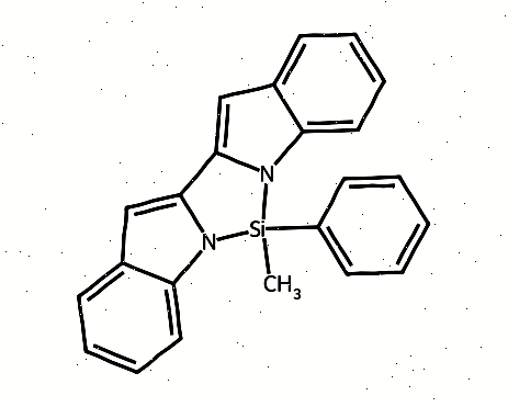 C[Si]1(c2ccccc2)n2c(cc3ccccc32)-c2cc3ccccc3n21